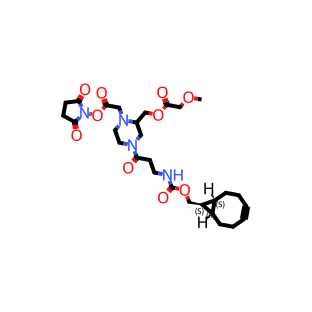 COCC(=O)OCC1CN(C(=O)CCNC(=O)OC[C@@H]2[C@@H]3CCC#CCC[C@@H]32)CCN1CC(=O)ON1C(=O)CCC1=O